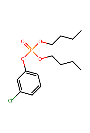 CCCCOP(=O)(OCCCC)Oc1cccc(Cl)c1